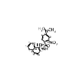 CN(C)c1ccc(S(=N)(=O)Nc2cccc3cccnc23)c([N+](=O)[O-])c1